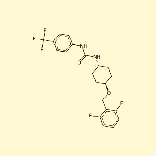 O=C(Nc1ccc(C(F)(F)F)cc1)N[C@H]1CC[C@H](OCc2c(F)cccc2F)CC1